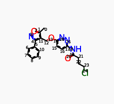 Cc1onc(-c2ccccc2)c1COc1ccc(NC(=O)CCCCl)nn1